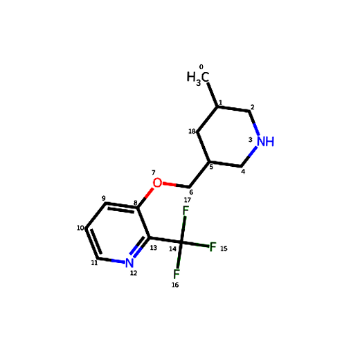 CC1CNCC(COc2cccnc2C(F)(F)F)C1